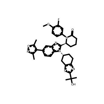 COc1ccc(N2C(=O)CCC[C@H]2c2nc3cc(-c4c(C)noc4C)ccc3n2[C@@H]2CCc3nc(C(C)(C)O)sc3C2)cc1F